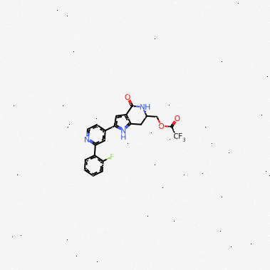 O=C1NC(COC(=O)C(F)(F)F)Cc2[nH]c(-c3ccnc(-c4ccccc4F)c3)cc21